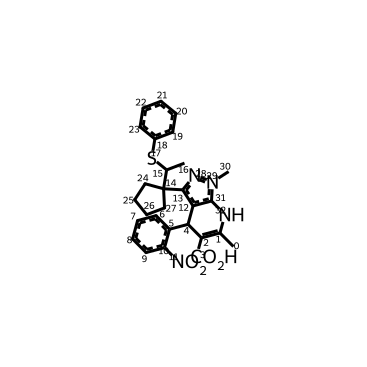 CC1=C(C(=O)O)C(c2ccccc2[N+](=O)[O-])c2c(C3(C(C)Sc4ccccc4)CCCC3)nn(C)c2N1